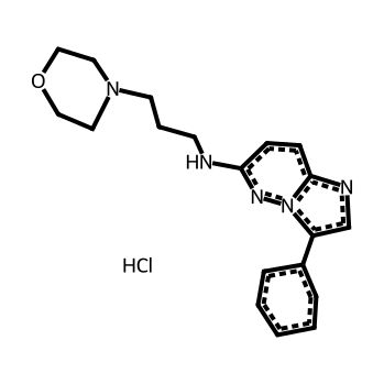 Cl.c1ccc(-c2cnc3ccc(NCCCN4CCOCC4)nn23)cc1